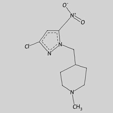 CN1CCC(Cn2nc(Cl)cc2[N+](=O)[O-])CC1